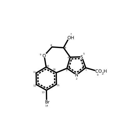 O=C(O)c1nc2c(s1)C(O)COc1ccc(Br)cc1-2